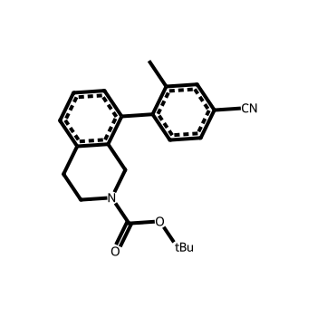 Cc1cc(C#N)ccc1-c1cccc2c1CN(C(=O)OC(C)(C)C)CC2